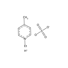 CC[n+]1ccc(C)cc1.O=S(=O)([O-])[O-].[H+]